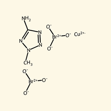 Cn1nnc(N)n1.[Cu+2].[O-][Br+2]([O-])[O-].[O-][Br+2]([O-])[O-]